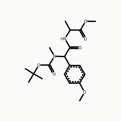 COC(=O)C(C)NC(=O)C(c1ccc(OC)cc1)N(C)C(=O)OC(C)(C)C